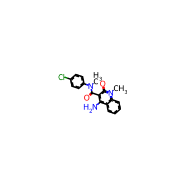 CN(C(=O)c1c(N)c2ccccc2n(C)c1=O)c1ccc(Cl)cc1